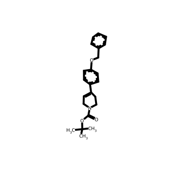 CC(C)(C)OC(=O)N1CC=C(c2ccc(OCc3ccccc3)cc2)CC1